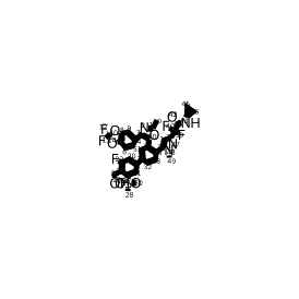 Cc1nc(-c2ccc3c(c2)OC(F)(F)O3)c(-c2cc(-c3cc(F)c(CO)c(S(C)(=O)=O)c3)ccc2-c2cc(C(F)(F)C(=O)NC3CC3)nn2C)o1